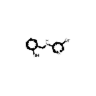 Oc1ccccc1CNc1cncc(Br)c1